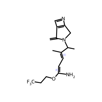 C=C1C2=C(CN1C(C)/C(C)=C/C=C(\N)OCCC(F)(F)F)N=C2